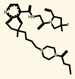 C=CC1CC(C)(F)CN1C(=C)CNC(=C)c1ccnc2c1=CC(C)(CCCCN1CCN(C(=C)CCC)CC1)CC=2